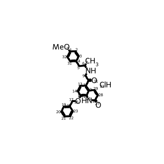 COc1ccc(CC(C)NCC(=O)c2ccc(OCc3ccccc3)c3[nH]c(=O)ccc23)cc1.Cl